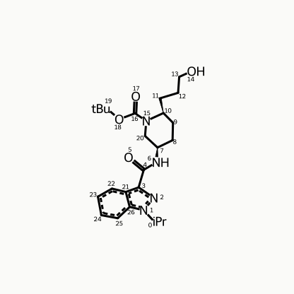 CC(C)n1nc(C(=O)N[C@@H]2CC[C@H](CCCO)N(C(=O)OC(C)(C)C)C2)c2ccccc21